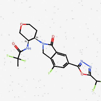 CC(F)(F)C(=O)N[C@H]1COCC[C@H]1N1Cc2c(F)cc(-c3nnc(C(F)F)o3)cc2C1=O